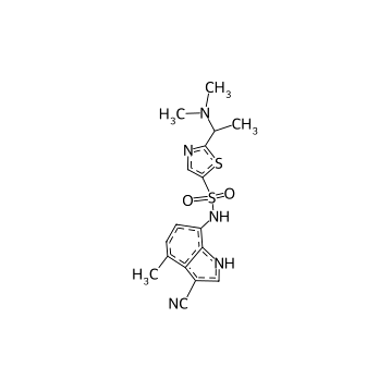 Cc1ccc(NS(=O)(=O)c2cnc(C(C)N(C)C)s2)c2[nH]cc(C#N)c12